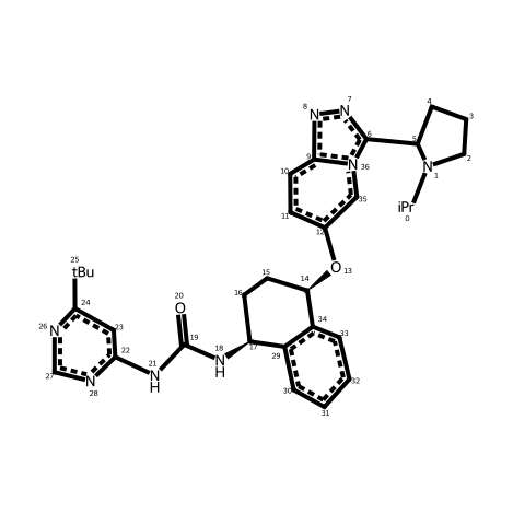 CC(C)N1CCCC1c1nnc2ccc(O[C@@H]3CC[C@H](NC(=O)Nc4cc(C(C)(C)C)ncn4)c4ccccc43)cn12